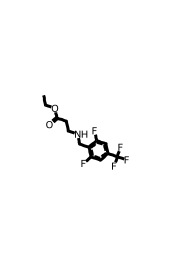 CCOC(=O)CCNCc1c(F)cc(C(F)(F)F)cc1F